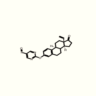 C=C[C@]12CC[C@@H]3c4ccc(Oc5ncc(N=O)cn5)cc4CCC3[C@@H]1CCC2=O